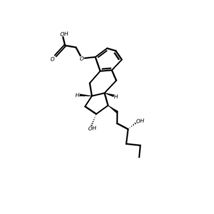 CCC[C@@H](O)CC[C@@H]1[C@H]2Cc3cccc(OCC(=O)O)c3C[C@H]2C[C@H]1O